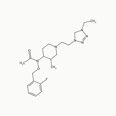 CCN1CN(CCN2CCC(N(OCc3ccccc3F)C(C)=O)C(C)C2)N=N1